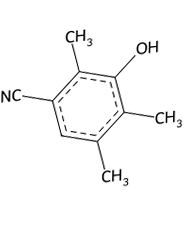 Cc1cc(C#N)c(C)c(O)c1C